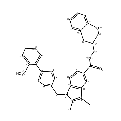 Cc1c(C)n(Cc2ccc(-c3ccccc3C(=O)O)cc2)c2ccc(C(=O)NCC3COc4ccccc4C3)cc12